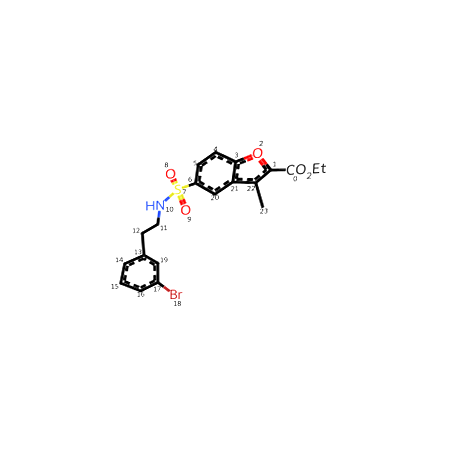 CCOC(=O)c1oc2ccc(S(=O)(=O)NCCc3cccc(Br)c3)cc2c1C